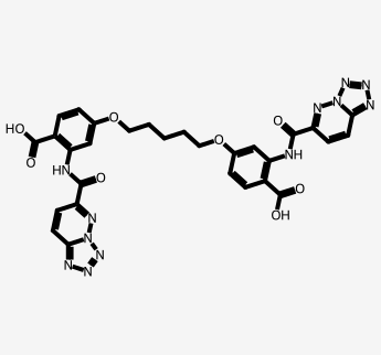 O=C(Nc1cc(OCCCCCOc2ccc(C(=O)O)c(NC(=O)c3ccc4nnnn4n3)c2)ccc1C(=O)O)c1ccc2nnnn2n1